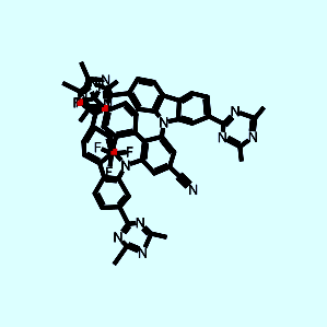 Cc1nc(C)nc(-c2ccc3c4ccc(-c5nc(C)nc(C)n5)cc4n(-c4cc(C#N)cc(-n5c6cc(-c7nc(C)nc(C)n7)ccc6c6ccc(-c7nc(C)nc(C)n7)cc65)c4-c4ccc(C(F)(F)F)cc4C(F)(F)F)c3c2)n1